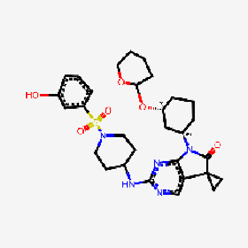 O=C1N([C@@H]2CCC[C@@H](OC3CCCCO3)C2)c2nc(NC3CCN(S(=O)(=O)c4cccc(O)c4)CC3)ncc2C12CC2